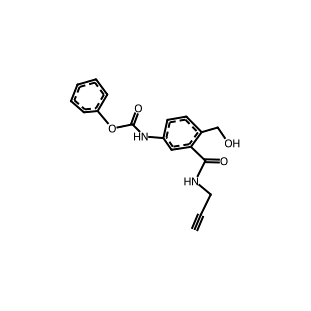 C#CCNC(=O)c1cc(NC(=O)Oc2ccccc2)ccc1CO